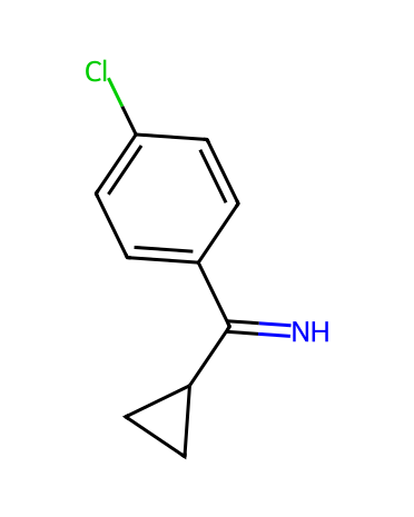 N=C(c1ccc(Cl)cc1)C1CC1